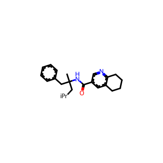 CC(C)CC(C)(Cc1ccccc1)NC(=O)c1cnc2c(c1)CCCC2